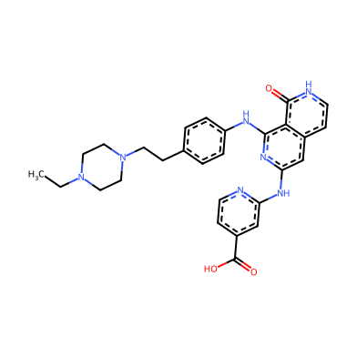 CCN1CCN(CCc2ccc(Nc3nc(Nc4cc(C(=O)O)ccn4)cc4cc[nH]c(=O)c34)cc2)CC1